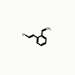 C=Cc1ccccc1C=CCC